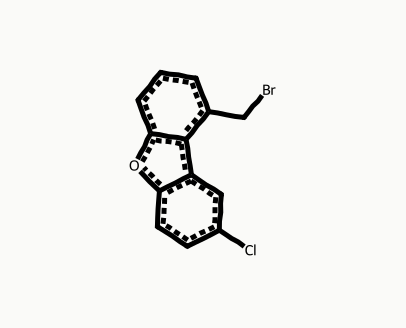 Clc1ccc2oc3cccc(CBr)c3c2c1